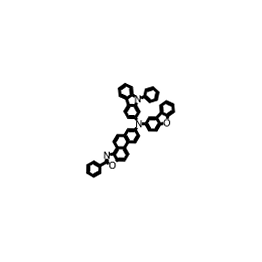 c1ccc(-c2nc3c(ccc4c5ccc(N(c6ccc7oc8ccccc8c7c6)c6ccc7c8ccccc8n(-c8ccccc8)c7c6)cc5ccc43)o2)cc1